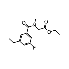 CCOC(=O)CN(C)C(=O)c1cc(F)cc(CC)c1